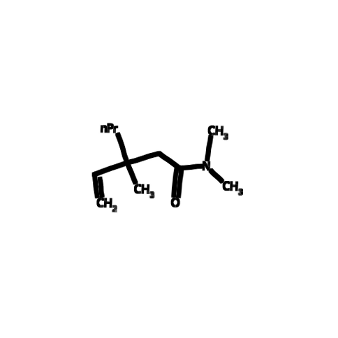 C=CC(C)(CCC)CC(=O)N(C)C